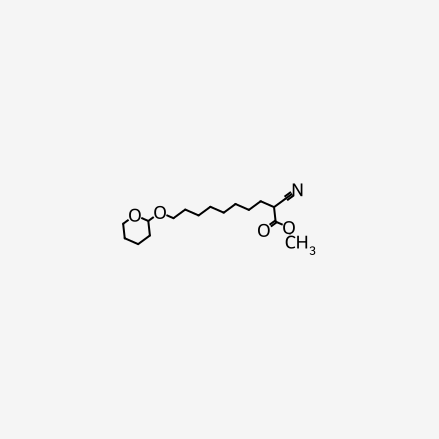 COC(=O)C(C#N)CCCCCCCCOC1CCCCO1